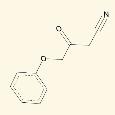 N#CCC(=O)COc1ccccc1